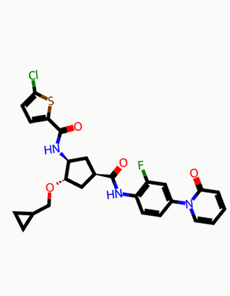 O=C(N[C@H]1C[C@@H](C(=O)Nc2ccc(-n3ccccc3=O)cc2F)C[C@@H]1OCC1CC1)c1ccc(Cl)s1